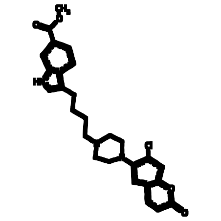 COC(=O)c1ccc2c(CCCCN3CCN(c4cc5ccc(=O)oc5cc4Cl)CC3)c[nH]c2c1